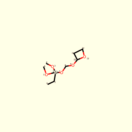 CC[Si](OC)(OC)OCOC1CCO1